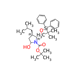 CC(C)C[C@@H]1CC(O)N(C(=O)OC(C)(C)C)[C@H]1CO[Si](c1ccccc1)(c1ccccc1)C(C)(C)C